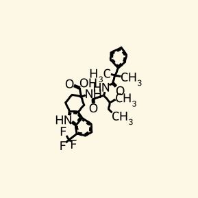 CCC(C)C(NC(=O)C(C)(C)c1ccccc1)C(=O)NC1(C(=O)O)CCc2[nH]c3c(C(F)(F)F)cccc3c2C1